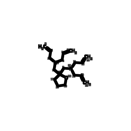 C=CCN(CC=C)CC1(CN(CC=C)CC=C)CCCO1